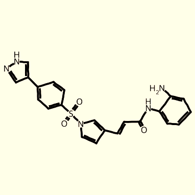 Nc1ccccc1NC(=O)C=Cc1ccn(S(=O)(=O)c2ccc(-c3cn[nH]c3)cc2)c1